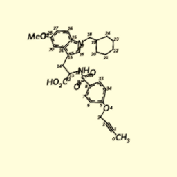 CC#CCOc1ccc(S(=O)(=O)NC(Cc2cn(CC3CCCCC3)c3ccc(OC)cc23)C(=O)O)cc1